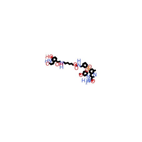 COc1cccc(Nc2c(C(N)=O)cnc3c(C)cc(S(=O)(=O)c4cccc(CNC(=O)OCCCCCCNC[C@H](O)c5ccc(O)c6[nH]c(=O)ccc56)c4)cc23)c1